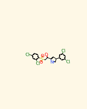 O=C(CS(=O)(=O)c1ccc(Cl)cc1Cl)C1=CC(c2cc(Cl)cc(Cl)c2)C=N1